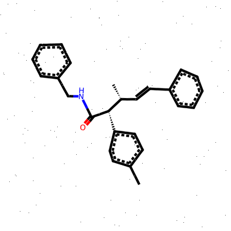 Cc1ccc([C@H](C(=O)NCc2ccccc2)[C@H](C)/C=C/c2ccccc2)cc1